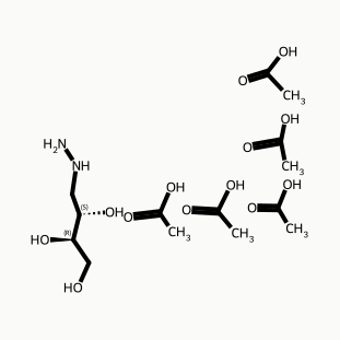 CC(=O)O.CC(=O)O.CC(=O)O.CC(=O)O.CC(=O)O.NNC[C@H](O)[C@H](O)CO